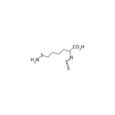 NSCCCCC(N=S=S)C(=O)O